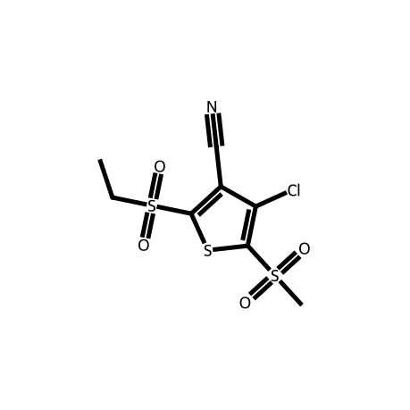 CCS(=O)(=O)c1sc(S(C)(=O)=O)c(Cl)c1C#N